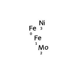 [Fe].[Fe].[Mo].[Ni]